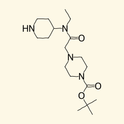 CCN(C(=O)CN1CCN(C(=O)OC(C)(C)C)CC1)C1CCNCC1